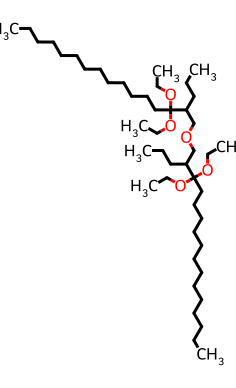 CCCCCCCCCCCCCC(OCC)(OCC)C(CCC)COCC(CCC)C(CCCCCCCCCCCCC)(OCC)OCC